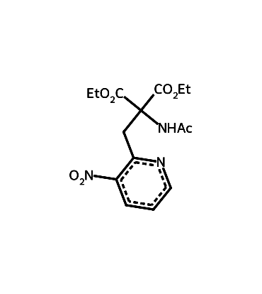 CCOC(=O)C(Cc1ncccc1[N+](=O)[O-])(NC(C)=O)C(=O)OCC